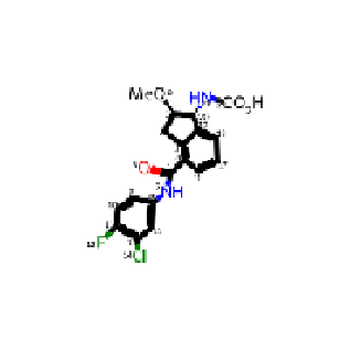 CO[C@@H]1Cc2c(C(=O)Nc3ccc(F)c(Cl)c3)cccc2[C@H]1NC(=O)O